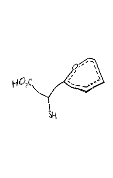 O=C(O)C(S)c1ccco1